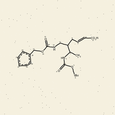 CC(NC(=O)OC(C)(C)C)C(CC=CC(=O)O)CNC(=O)OCc1ccccc1